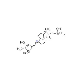 CC1[C@H](O)CC(=C/C=C2\CCC[C@@]3(C)C2CCC3[C@H](C)CCC[C@@H](C)O)C[C@H]1O